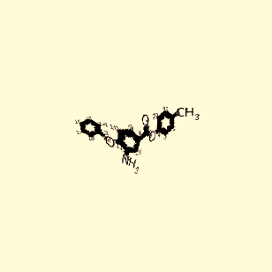 Cc1ccc(OC(=O)c2ccc(Oc3ccccc3)c(N)c2)cc1